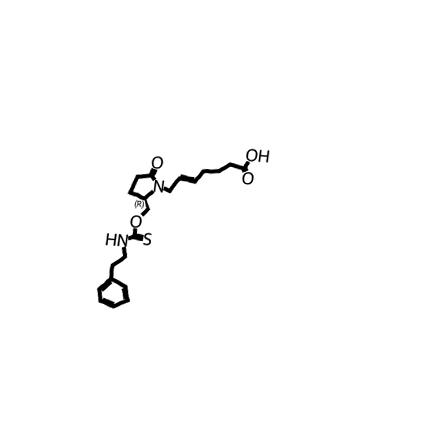 O=C(O)CCCC=CCN1C(=O)CC[C@@H]1COC(=S)NCCc1ccccc1